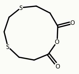 O=C1CCSCCSCCC(=O)O1